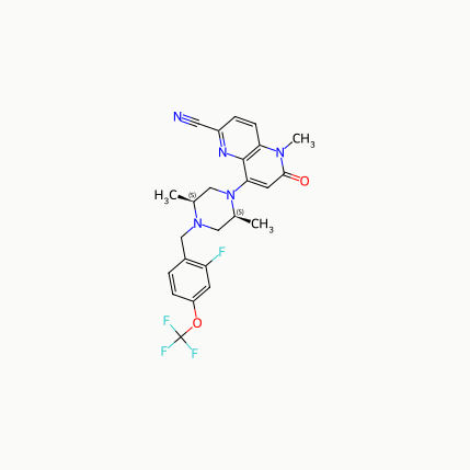 C[C@H]1CN(c2cc(=O)n(C)c3ccc(C#N)nc23)[C@@H](C)CN1Cc1ccc(OC(F)(F)F)cc1F